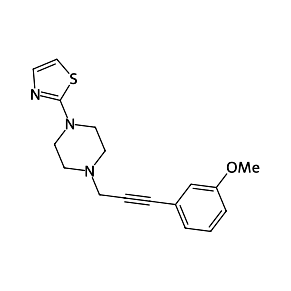 COc1cccc(C#CCN2CCN(c3nccs3)CC2)c1